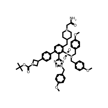 COc1ccc(CN(Cc2ccc(OC)cc2)S(=O)(=O)c2c(CC3CCN(CC(N)=O)CC3)ccc(-c3ccc(C4CN(C(=O)OC(C)(C)C)C4)cc3)c2-c2nnn(Cc3ccc(OC)cc3)n2)cc1